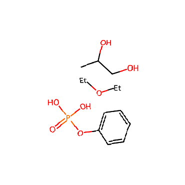 CC(O)CO.CCOCC.O=P(O)(O)Oc1ccccc1